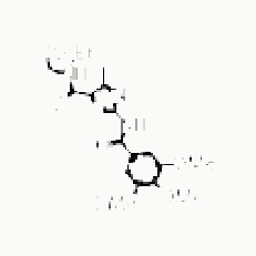 CCOC(=O)CNC(=O)c1sc(NC(=O)c2cc(OC)c(OC)c(OC)c2)nc1C